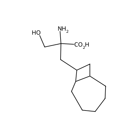 NC(CO)(CC1CC2CCCCCC21)C(=O)O